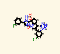 [O-][n+]1cc(-c2cc(Cl)ccc2-n2cnnn2)cc2c1C(O)(c1ncc(-c3cccc(F)c3)[nH]1)CC2